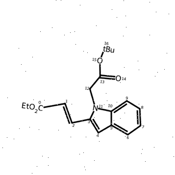 CCOC(=O)/C=C/c1cc2ccccc2n1CC(=O)OC(C)(C)C